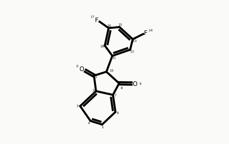 O=C1c2ccccc2C(=O)C1c1cc(F)cc(F)c1